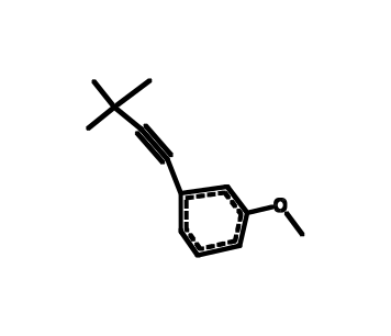 COc1cccc(C#CC(C)(C)C)c1